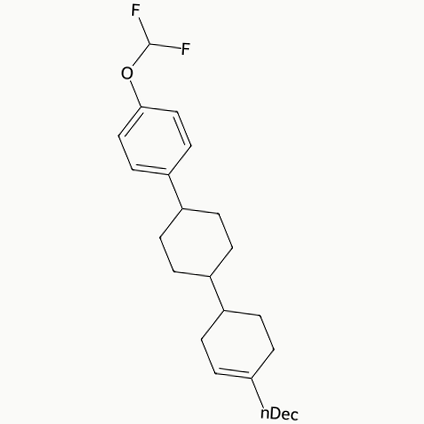 CCCCCCCCCCC1=CCC(C2CCC(c3ccc(OC(F)F)cc3)CC2)CC1